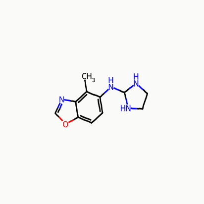 Cc1c(NC2NCCN2)ccc2ocnc12